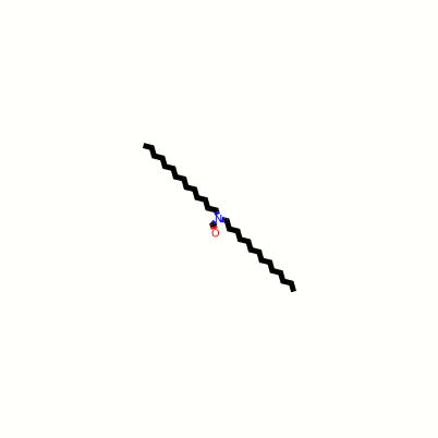 CCCCCCCCCCCCCCN(C=O)CCCCCCCCCCCCCC